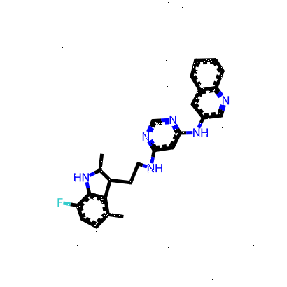 Cc1ccc(F)c2c1C(CCNc1cc(Nc3cnc4ccccc4c3)ncn1)C(C)N2